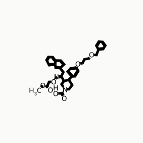 COC(=O)CON=C(Cc1ccc2ccccc2c1)C1CN(C(=O)O)CCC1c1ccc(OCCCOCc2ccccc2)cc1